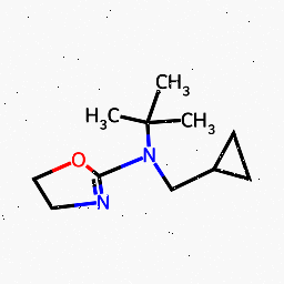 CC(C)(C)N(CC1CC1)C1=NCCO1